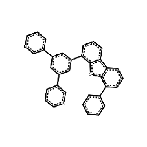 c1ccc(-c2cccc3c2sc2c(-c4cc(-c5cccnc5)cc(-c5cccnc5)c4)cccc23)cc1